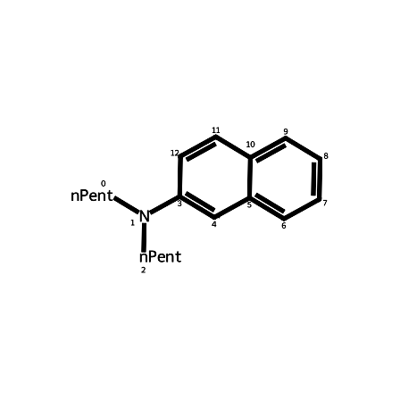 CCCCCN(CCCCC)c1[c]c2ccccc2cc1